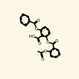 CC(=O)Oc1ccccc1C(=O)Oc1cccc(OC(=O)c2ccccc2)c1C(=O)O